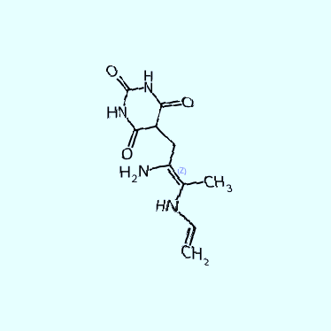 C=CN/C(C)=C(\N)CC1C(=O)NC(=O)NC1=O